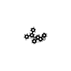 c1ccc(-c2cc(-c3ccccc3)cc(-n3c4ccccc4c4c5ccc6oc7ccccc7c6c5ccc43)c2)cc1